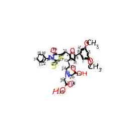 COc1cc(OC)cc(-c2cc(CCCN(CC(=O)O)CC(=O)O)c(C=C3SC(=S)N(C4CC5CCC4C5)C3=O)o2)c1